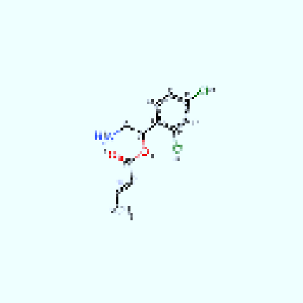 C/C=C/C(=O)OC(CN)c1ccc(Cl)cc1Cl